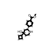 COC(=O)c1ccc([C@@H]2CC(O)(C3CCC3)CCN2)cc1